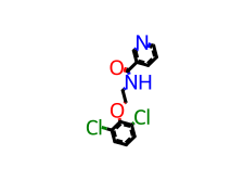 O=C(NCCOc1c(Cl)cccc1Cl)c1cccnc1